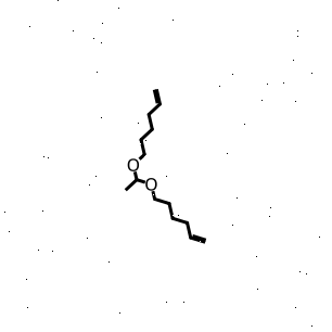 C=CCCCCOC(C)OCCCCC=C